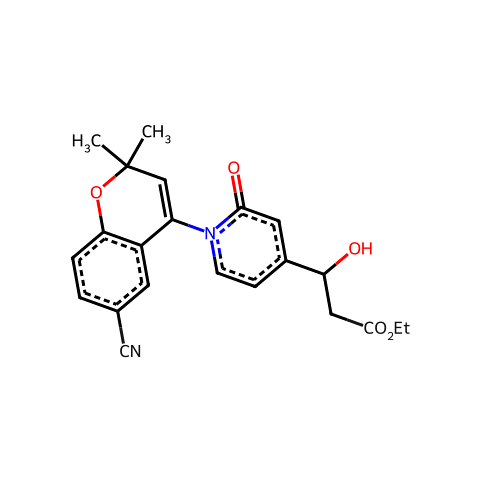 CCOC(=O)CC(O)c1ccn(C2=CC(C)(C)Oc3ccc(C#N)cc32)c(=O)c1